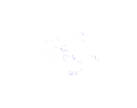 Cc1cc(-n2ccnc2)cc2[nH]c(-c3c(NC[C@@H](NS(=O)(=O)C(C)C)c4ccccc4)cc[nH]c3=O)nc12